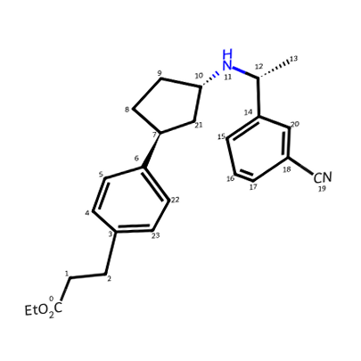 CCOC(=O)CCc1ccc([C@H]2CC[C@H](N[C@H](C)c3cccc(C#N)c3)C2)cc1